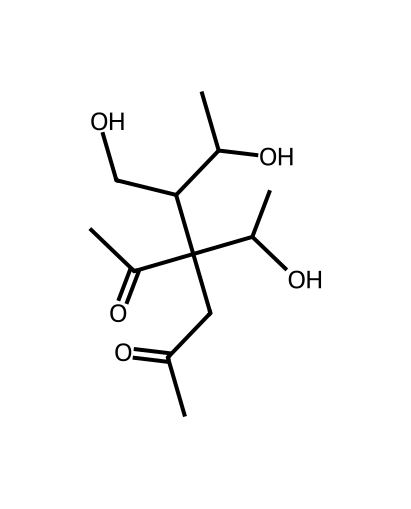 CC(=O)CC(C(C)=O)(C(C)O)C(CO)C(C)O